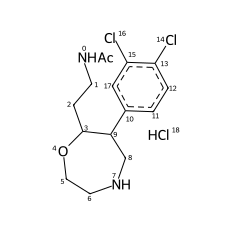 CC(=O)NCCC1OCCNCC1c1ccc(Cl)c(Cl)c1.Cl